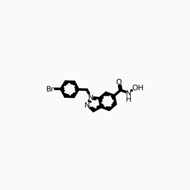 O=C(NO)c1ccc2cnn(Cc3ccc(Br)cc3)c2c1